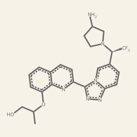 CC(CO)Oc1cccc2ccc(-c3nnc4ccc([C@@H](N5CCC(N)C5)C(F)(F)F)cn34)nc12